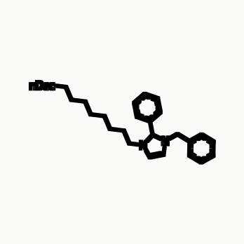 CCCCCCCCCCCCCCCCCCN1C=CN(Cc2ccccc2)C1c1ccccc1